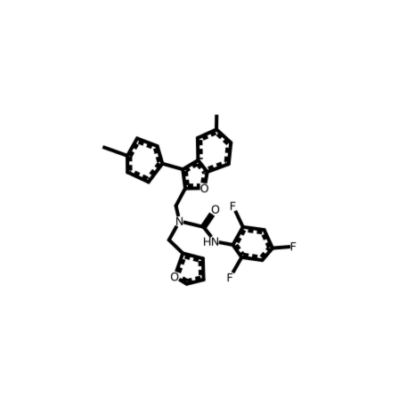 Cc1ccc(-c2c(CN(Cc3ccco3)C(=O)Nc3c(F)cc(F)cc3F)oc3ccc(C)cc23)cc1